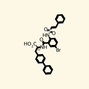 O=C(N[C@@H](Cc1ccc(-c2ccccc2)cc1)C(=O)O)c1cc(Br)ccc1NS(=O)(=O)C=Cc1ccccc1